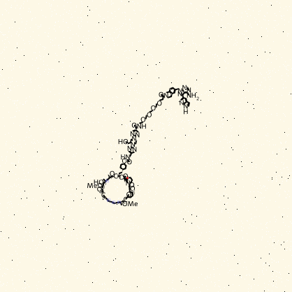 CO[C@H]1CC2CC[C@@H](C)C(O2)C(=O)C(=O)N2CCCC[C@H]2C(=O)O[C@H](CC[C@H]2CC[C@H](OC(=O)NCc3cnc(N4CCN(c5ncc(C(=O)NCCOCCOCCOCCOCCC(=O)N6CCc7cc(Cn8nc(-c9cnc%10[nH]ccc%10c9)c9c(N)ncnc98)ccc7C6)cn5)CC4CO)nc3)CC2)CC(=O)[C@H](C)/C=C(\C)[C@@H](O)[C@@H](OC)C(=O)[C@H](C)C[C@H](C)/C=C/C=C/C=C/1C